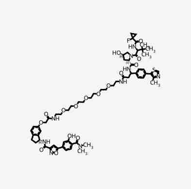 Cc1ncsc1-c1ccc(C(CC(=O)NCCOCCOCCOCCOCCOCCNC(=O)COc2ccc3c(c2)[C@H](NC(=O)c2cc(-c4ccc(C(=O)N(C)C)c(O)c4)on2)CC3)NC(=O)[C@@H]2C[C@@H](O)CN2C(=O)C(NC(=O)C2(F)CC2)C(C)(C)C)cc1